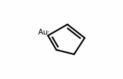 C1=CCC=C1.[Au]